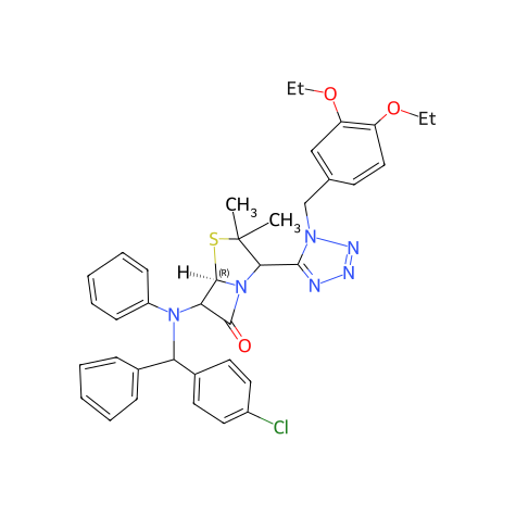 CCOc1ccc(Cn2nnnc2C2N3C(=O)C(N(c4ccccc4)C(c4ccccc4)c4ccc(Cl)cc4)[C@H]3SC2(C)C)cc1OCC